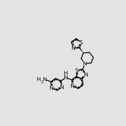 Nc1cc(Nc2nccc3nc(N4CCC[C@H](c5nccs5)C4)sc23)ncn1